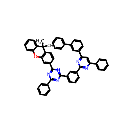 CC1(C)c2ccccc2Oc2cc(-c3nc(-c4ccccc4)nc(-c4cccc(-c5nc(-c6ccccc6)cc(-c6cccc(-c7ccccc7)c6)n5)c4)n3)ccc21